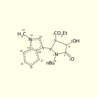 CCCCN1C(=O)C(O)C(C(=O)OCC)C1c1cn(C)c2ccccc12